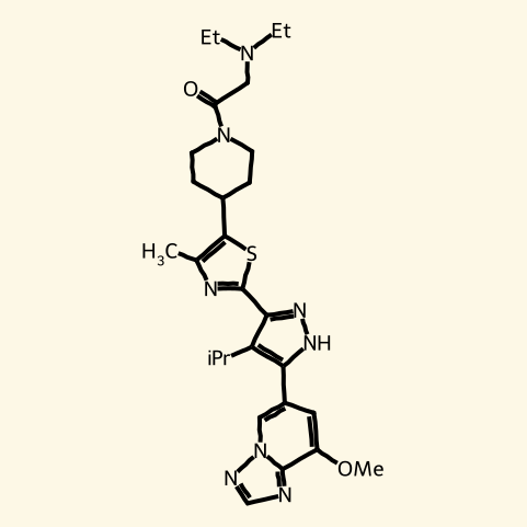 CCN(CC)CC(=O)N1CCC(c2sc(-c3n[nH]c(-c4cc(OC)c5ncnn5c4)c3C(C)C)nc2C)CC1